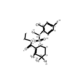 [2H]C1=C(C(=O)OCC)[C@H](S(=O)(=O)N([2H])c2ccc(F)cc2Cl)CCC1([2H])[2H]